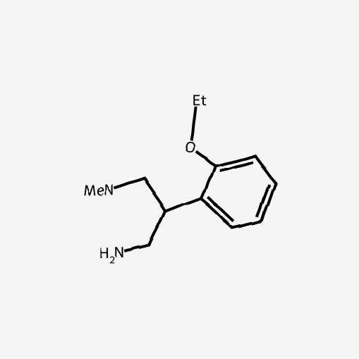 CCOc1ccccc1C(CN)CNC